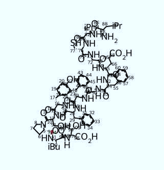 CC[C@H](C)[C@H](NC(=O)[C@@H]1CCCN1C(=O)[C@@H](NC(=O)[C@H](Cc1ccc(O)cc1)NC(=O)[C@H](Cc1ccccc1)NC(=O)[C@H](Cc1ccccc1)NC(=O)CNC(=O)[C@H](Cc1ccccc1)NC(=O)[C@H](CCC(=O)O)NC(=O)CNC(=O)[C@H](CS)NC(=O)[C@@H](NC(=O)[C@@H](N)CC(C)C)C(C)C)[C@@H](C)O)C(=O)N[C@H](C(=O)O)[C@@H](C)O